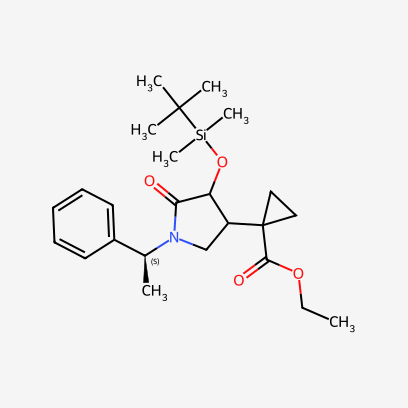 CCOC(=O)C1(C2CN([C@@H](C)c3ccccc3)C(=O)C2O[Si](C)(C)C(C)(C)C)CC1